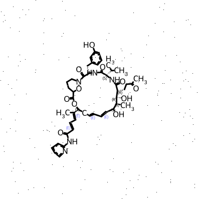 CC(=O)CC[C@H]1C(=O)N[C@@H](C(C)C)C(=O)N[C@@H](Cc2cccc(O)c2)C(=O)N2CCCC(O2)C(=O)O[C@H](/C(C)=C/C=C/C(=O)Nc2ccccn2)C/C=C/C=C/[C@H](O)[C@H](C)[C@H]1O